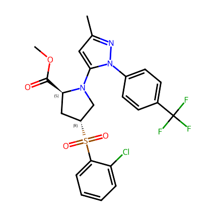 COC(=O)[C@@H]1C[C@@H](S(=O)(=O)c2ccccc2Cl)CN1c1cc(C)nn1-c1ccc(C(F)(F)F)cc1